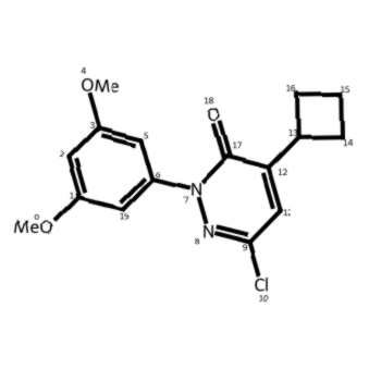 COc1cc(OC)cc(-n2nc(Cl)cc(C3CCC3)c2=O)c1